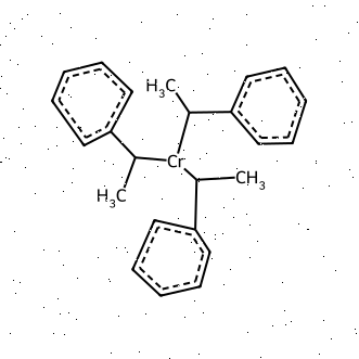 C[CH](c1ccccc1)[Cr]([CH](C)c1ccccc1)[CH](C)c1ccccc1